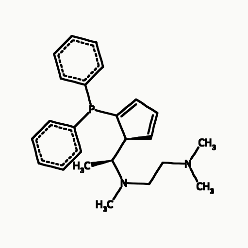 C[C@@H]([C@@H]1C=CC=C1P(c1ccccc1)c1ccccc1)N(C)CCN(C)C